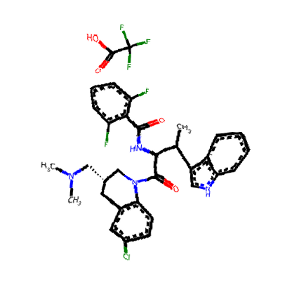 CC(c1c[nH]c2ccccc12)C(NC(=O)c1c(F)cccc1F)C(=O)N1C[C@@H](CN(C)C)Cc2cc(Cl)ccc21.O=C(O)C(F)(F)F